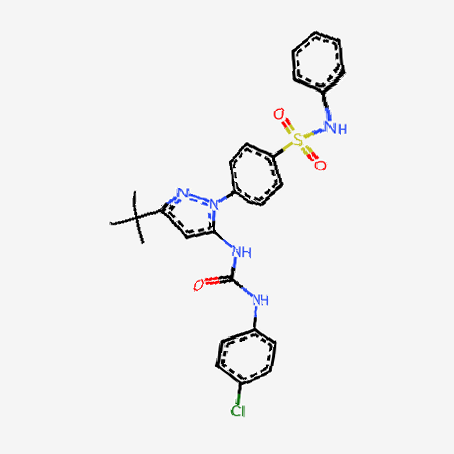 CC(C)(C)c1cc(NC(=O)Nc2ccc(Cl)cc2)n(-c2ccc(S(=O)(=O)Nc3ccccc3)cc2)n1